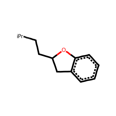 CC(C)CCC1Cc2ccccc2O1